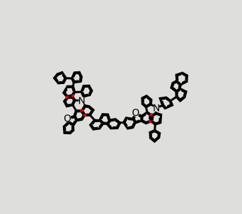 c1ccc(-c2ccc(N(c3ccc(-c4cccc5c4ccc4ccccc45)cc3)c3ccccc3-c3cccc4c3oc3cc(-c5ccc6c(ccc7c(-c8ccc(N(c9ccccc9-c9ccccc9-c9ccccc9-c9ccccc9)c9ccccc9-c9cccc%10c9oc9ccccc9%10)cc8)cccc76)c5)ccc34)cc2)cc1